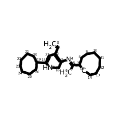 C=CC1=C(/N=C(\C)C2CCCCCCCC2)CNC(C2CCCCCCC2)=C1